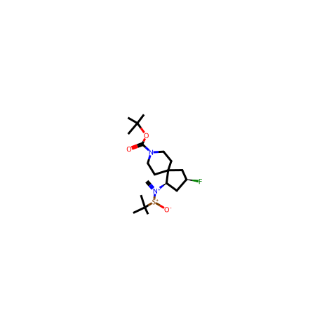 C=[N+]([C@@H]1C[C@H](F)CC12CCN(C(=O)OC(C)(C)C)CC2)[S+]([O-])C(C)(C)C